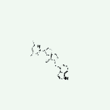 Cc1cc(C)nc(N2CCC3(CCN(Cc4cccc5[nH]ccc45)C3=O)C2)n1